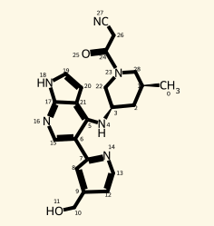 C[C@H]1C[C@@H](Nc2c(-c3cc(CO)ccn3)cnc3[nH]ccc23)CN(C(=O)CC#N)C1